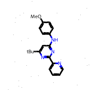 COc1ccc(Nc2cc(C(C)(C)C)nc(-c3ccccn3)n2)cc1